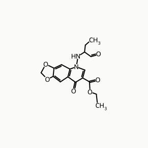 CCOC(=O)c1cn(NC(C=O)CC)c2cc3c(cc2c1=O)OCO3